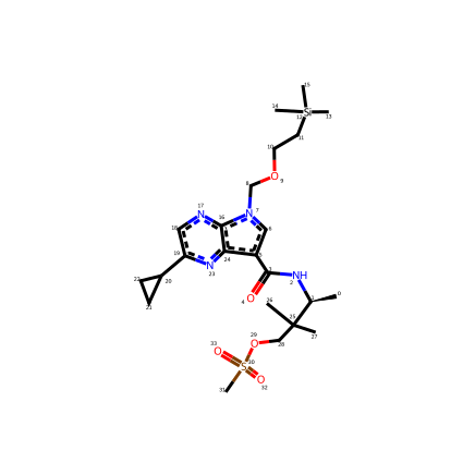 C[C@H](NC(=O)c1cn(COCC[Si](C)(C)C)c2ncc(C3CC3)nc12)C(C)(C)COS(C)(=O)=O